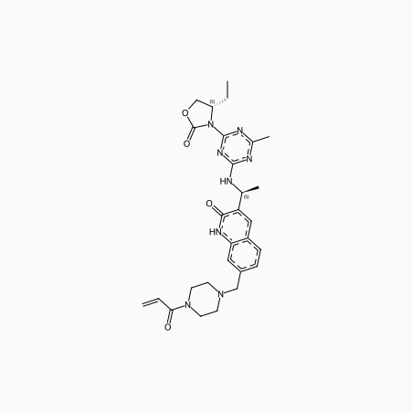 C=CC(=O)N1CCN(Cc2ccc3cc([C@H](C)Nc4nc(C)nc(N5C(=O)OC[C@@H]5CC)n4)c(=O)[nH]c3c2)CC1